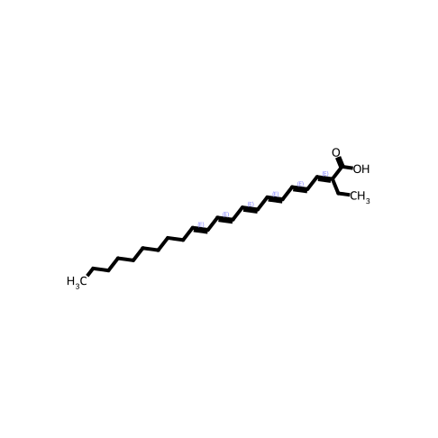 CCCCCCCCC/C=C/C=C/C=C/C=C/C=C/C=C(\CC)C(=O)O